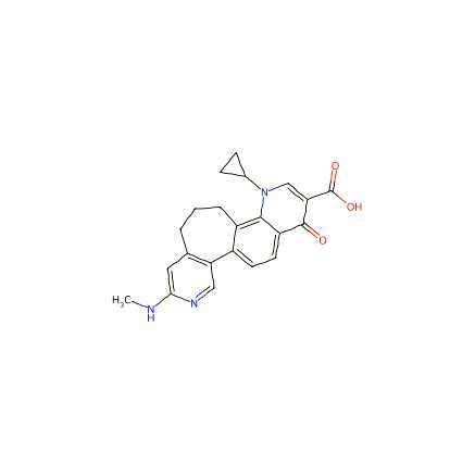 CNc1cc2c(cn1)-c1ccc3c(=O)c(C(=O)O)cn(C4CC4)c3c1CCC2